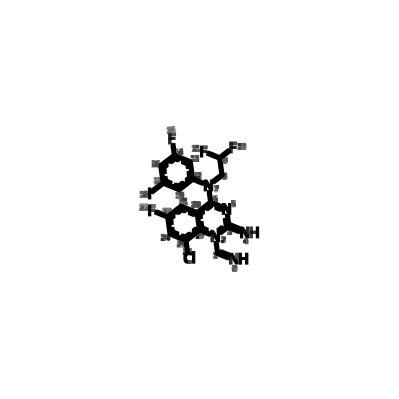 N=Cn1c(=N)nc(N(CC(F)F)c2cc(F)cc(I)c2)c2cc(F)cc(Cl)c21